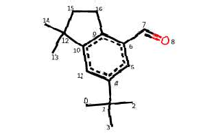 CC(C)(C)c1cc(C=O)c2c(c1)C(C)(C)CC2